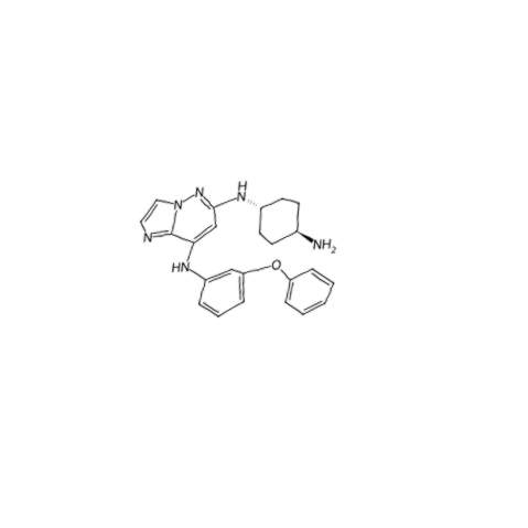 N[C@H]1CC[C@H](Nc2cc(Nc3cccc(Oc4ccccc4)c3)c3nccn3n2)CC1